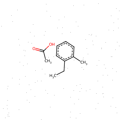 CC(=O)O.CCc1ccccc1C